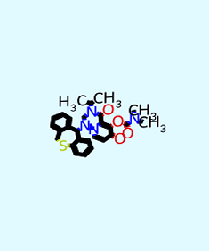 CC(C)N1CN(C2c3ccccc3CSc3ccccc32)n2ccc(=O)c(OC(=O)N(C)C)c2C1=O